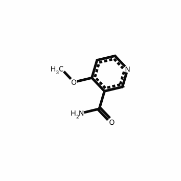 COc1ccn[c]c1C(N)=O